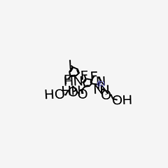 C/N=C(/N=NOCCO)c1cc(C(=O)NOCCO)c(Nc2ccc(I)cc2F)c(F)c1F